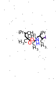 CC(NCC(C(C)C)C(C)I)OC(=O)C(C)(C)CC(C)C(C)C